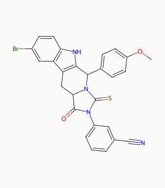 COc1ccc(C2c3[nH]c4ccc(Br)cc4c3CC3C(=O)N(c4cccc(C#N)c4)C(=S)N32)cc1